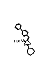 Br.O=C1N=C(N2CCCCCC2)S/C1=C/c1ccc(-c2ccccc2)cc1